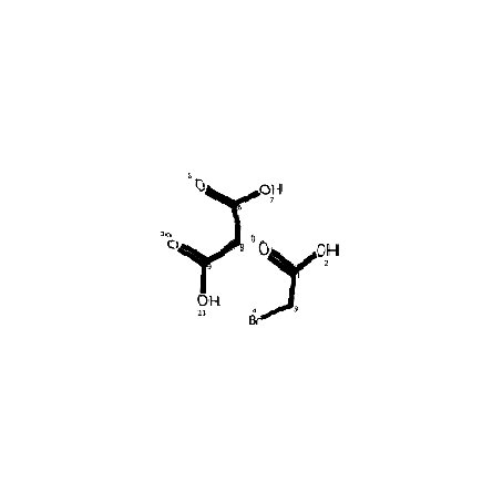 O=C(O)CBr.O=C(O)CC(=O)O